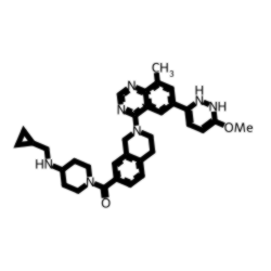 COC1=CC=C(c2cc(C)c3ncnc(N4CCc5ccc(C(=O)N6CCC(NCC7CC7)CC6)cc5C4)c3c2)NN1